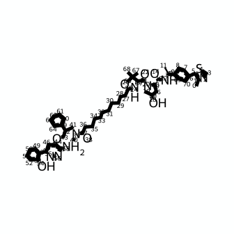 Cc1ncsc1-c1ccc([C@H](C)NC(=O)[C@@H]2C[C@@H](O)CN2C(=O)[C@@H](NC(=O)CCCCCCCCCCC(=O)N(C)CC(COc2cc(-c3ccccc3O)nnc2N)c2ccccc2)C(C)(C)C)cc1